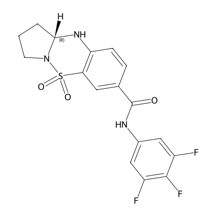 O=C(Nc1cc(F)c(F)c(F)c1)c1ccc2c(c1)S(=O)(=O)N1CCC[C@@H]1N2